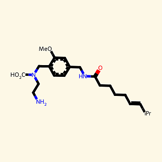 COc1cc(CNC(=O)CCCCC=CC(C)C)ccc1CN(CCN)C(=O)O